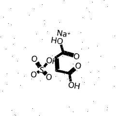 O=C(O)/C=C\C(=O)O.O=S(=O)([O-])O.[Na+]